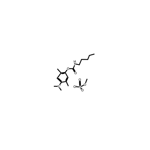 CCCCCNC(=O)Oc1cc(C)c([S+](C)C)cc1C.COS(=O)(=O)[O-]